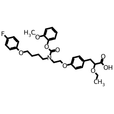 CCOC(Cc1ccc(OCCN(CCCCOc2ccc(F)cc2)C(=O)Oc2ccccc2OC)cc1)C(=O)O